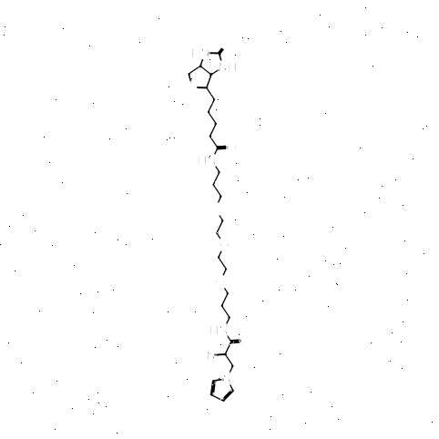 NC(Cn1cccc1)C(=O)NCCCOCCOCCOCCCNC(=O)CCCCC1SCC2NC(=O)NC21